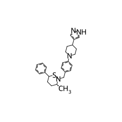 C[C@H]1CCC(c2ccccc2)SN1Cc1ccc(N2CCC(c3cn[nH]c3)CC2)cc1